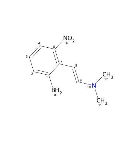 Bc1cccc([N+](=O)[O-])c1/C=C/N(C)C